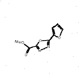 COC(=O)c1nnc(-c2ccco2)o1